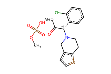 COC(=O)[C@H](c1ccccc1Cl)N1CCc2sccc2C1.COS(=O)(=O)O